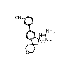 [C-]#[N+]c1cccc(-c2ccc3c(c2)C2(CC34CCOCC4)N=C(N)N(C)O2)c1